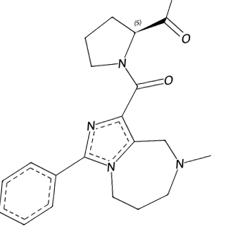 CNC(=O)[C@@H]1CCCN1C(=O)c1nc(-c2ccccc2)n2c1CN(C)CCC2